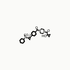 O=C(c1ccc(C2CC2N(C(=O)O)c2ccccc2)cc1)N1CCN(C(=O)C2(O)CC2)CC1